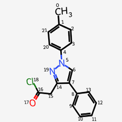 Cc1ccc(-n2cc(-c3ccccc3)c(CC(=O)Cl)n2)cc1